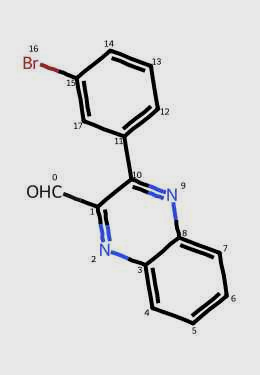 O=Cc1nc2ccccc2nc1-c1cccc(Br)c1